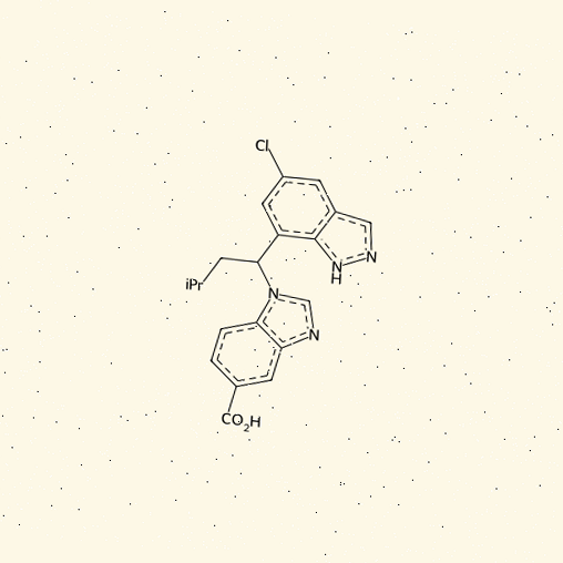 CC(C)CC(c1cc(Cl)cc2cn[nH]c12)n1cnc2cc(C(=O)O)ccc21